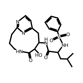 CC(C)CC(NS(=O)(=O)c1ccccc1)C(=O)NC1Cc2ccnc(n2)CCCNC(=O)C1O